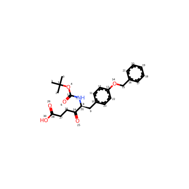 CC(C)(C)OC(=O)N[C@@H](Cc1ccc(OCc2ccccc2)cc1)C(=O)CCC(=O)O